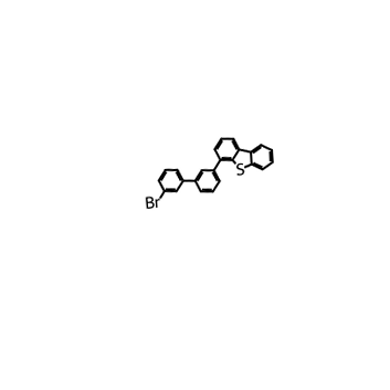 Brc1cccc(-c2cccc(-c3cccc4c3sc3ccccc34)c2)c1